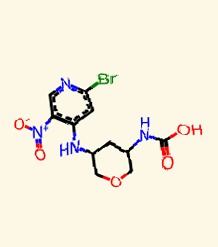 O=C(O)NC1COCC(Nc2cc(Br)ncc2[N+](=O)[O-])C1